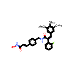 COc1cc(/C=C(\C(=O)NCc2ccc(/C=C/C(=O)NO)cc2)c2ccccc2F)cc(OC)c1OC